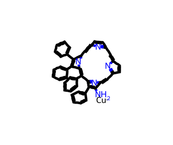 NC1=C(c2ccccc2)C2=NC1=CC1=NC(=CC3=NC(=CC4=NC(=C2c2ccccc2)C(c2ccccc2)=C4c2ccccc2)C=C3)C=C1.[Cu]